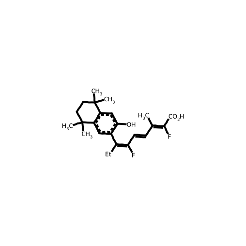 CC/C(=C(F)/C=C/C(C)=C(\F)C(=O)O)c1cc2c(cc1O)C(C)(C)CCC2(C)C